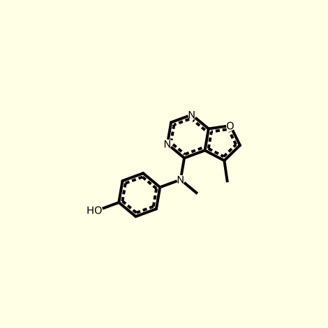 Cc1coc2ncnc(N(C)c3ccc(O)cc3)c12